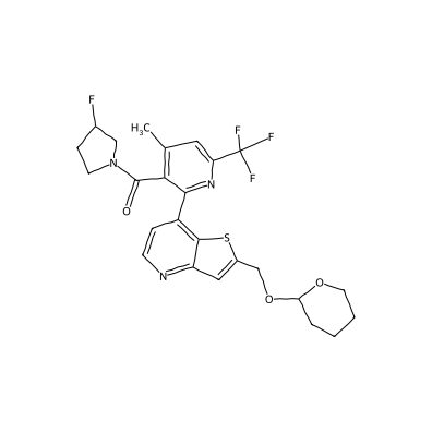 Cc1cc(C(F)(F)F)nc(-c2ccnc3cc(COC4CCCCO4)sc23)c1C(=O)N1CCC(F)C1